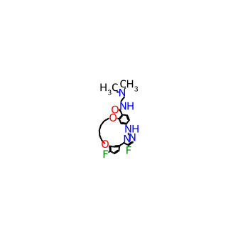 CCN(CC)CCNC(=O)c1ccc2cc1OCCCCCCOc1cc(ccc1F)-c1nc(ncc1F)N2